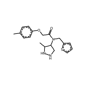 Cc1ccc(OCC(=O)N(Cc2cccs2)C2CNNC2C)cc1